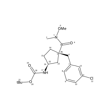 CON(C)C(=O)[C@@]1(Cc2cccc(Cl)c2)CC[C@H](NC(=O)OC(C)(C)C)C1